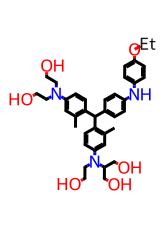 CCOc1ccc(Nc2ccc(C(c3ccc(N(CCO)CCO)cc3C)c3ccc(N(CCO)C(CO)CO)cc3C)cc2)cc1